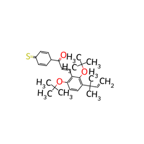 C=CC(C)(C)c1ccc(OC(C)(C)C)c(/C=C/C(=O)C2C=CC(=S)C=C2)c1OC(C)(C)C